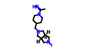 CC(=N)N1CCC(CN2C[C@H]3CN(I)C[C@H]3C2)CC1